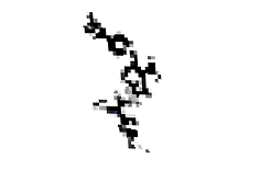 CO/N=C(\C(=O)N[C@@H]1C(=O)N2C(C(=O)[O-])=C(C[n+]3ccc(-c4nnc(C)o4)cc3)CS[C@@H]12)c1csc(N)n1